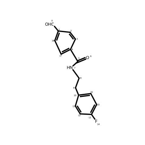 O=Cc1ccc(C(=O)NCCc2ccc(F)cc2)cc1